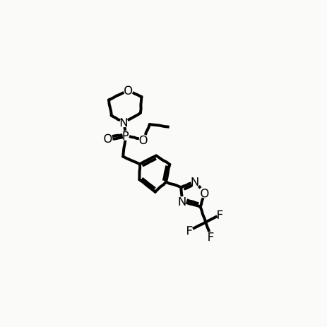 CCOP(=O)(Cc1ccc(-c2noc(C(F)(F)F)n2)cc1)N1CCOCC1